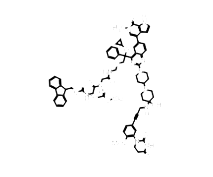 COc1ccc(C#CCNC2(C)CCN(C3CCN(c4nc(C(COCNC(=O)CNC(=O)[C@H](CC(=O)OC(C)(C)C)NC(=O)OCC5c6ccccc6-c6ccccc65)(OC5CC5)c5ccccc5)c5cc(-c6cn(C)c(=O)c7[nH]ccc67)ccc5n4)CC3)CC2)cc1N1CCC(=O)NC1=O